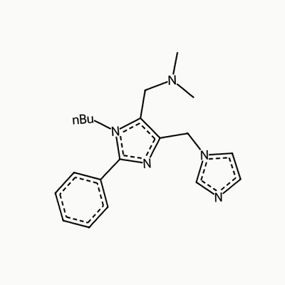 CCCCn1c(-c2ccccc2)nc(Cn2ccnc2)c1CN(C)C